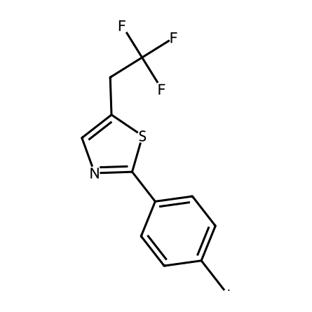 [CH2]c1ccc(-c2ncc(CC(F)(F)F)s2)cc1